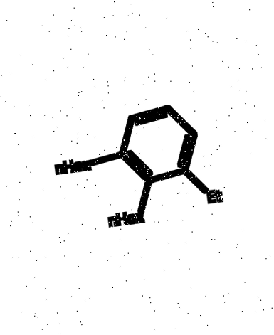 CCCCCCc1cccc(CC)c1CCCCCC